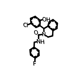 O=C(NCc1ccc(F)cc1)N1CCc2ccccc2C1c1cc(Cl)ccc1O